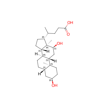 CC(CCC(=O)O)[C@H]1CC[C@H]2[C@@H]3CC[C@H]4C[C@H](O)CC[C@]4(C)[C@H]3C[C@H](O)[C@]12C